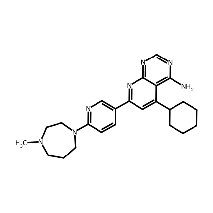 CN1CCCN(c2ccc(-c3cc(C4CCCCC4)c4c(N)ncnc4n3)cn2)CC1